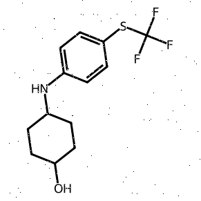 OC1CCC(Nc2ccc(SC(F)(F)F)cc2)CC1